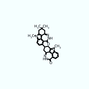 Cn1c2c3c4c(cccc41)C(=O)NN=C3CC(c1ccc3c4c1C(=O)NN=C1CC(C)(C)Cc(c41)n3C)C2